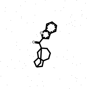 O=C(c1cc2ccccc2o1)C12CCCC3CC(CC3C1)C2